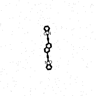 C(#Cc1nc2ccccc2o1)C1=CC2C=CC(C#Cc3nc4ccccc4o3)=CC2C=C1